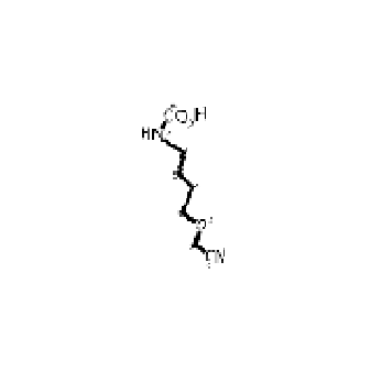 N#CCOCCCCNC(=O)O